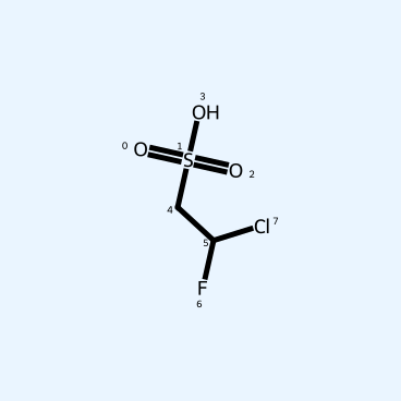 O=S(=O)(O)CC(F)Cl